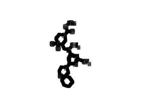 CN(CC1CN(C(=O)OC(C)(C)C)CCS1(=O)=O)c1cc(N2CCOC3(CCCCC3)C2)nc(C(F)(F)F)n1